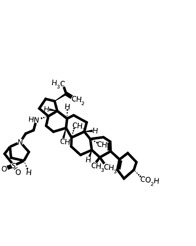 C=C(C)[C@@H]1CC[C@]2(NCCN3C[C@@H]4CC3CS4(=O)=O)CC[C@]3(C)[C@H](CC[C@@H]4[C@@]5(C)CC=C(C6=CC[C@@H](C(=O)O)CC6)C(C)(C)[C@@H]5CC[C@]43C)[C@@H]12